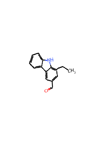 CCc1cc(C=O)cc2c1[nH]c1ccccc12